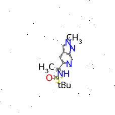 C[C@@H](N[S@+]([O-])C(C)(C)C)c1cc2cn(C)nc2cn1